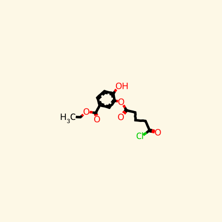 CCOC(=O)c1ccc(O)c(OC(=O)CCCC(=O)Cl)c1